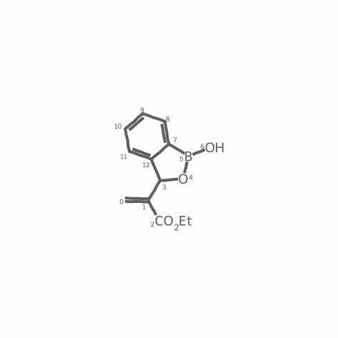 C=C(C(=O)OCC)C1OB(O)c2ccccc21